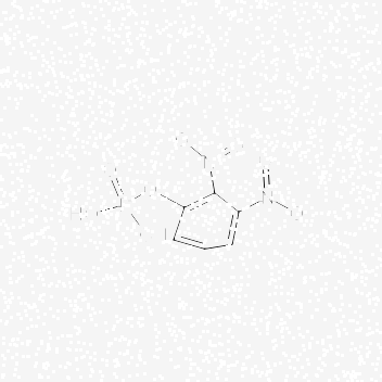 O=[N+]([O-])c1cccc(OP(=O)(O)O)c1[N+](=O)[O-]